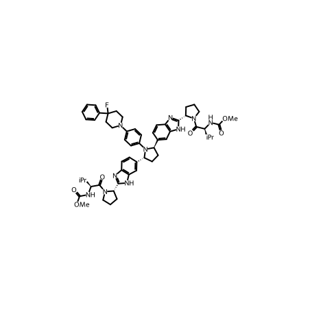 COC(=O)N[C@H](C(=O)N1CCC[C@H]1c1nc2ccc([C@H]3CC[C@H](c4ccc5nc([C@@H]6CCCN6C(=O)[C@@H](NC(=O)OC)C(C)C)[nH]c5c4)N3c3ccc(N4CCC(F)(c5ccccc5)CC4)cc3)cc2[nH]1)C(C)C